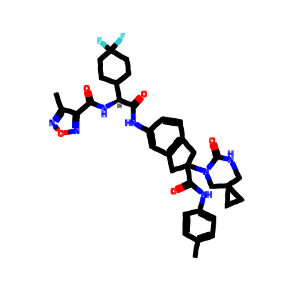 Cc1ccc(NC(=O)C2(N3CC4(CC4)CNC3=O)Cc3ccc(NC(=O)[C@@H](NC(=O)c4nonc4C)C4CCC(F)(F)CC4)cc3C2)cc1